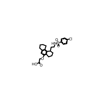 O=C(O)COc1cc2c(c3c1CCCC3CCNS(=O)(=O)c1ccc(Cl)cc1)CCCC2